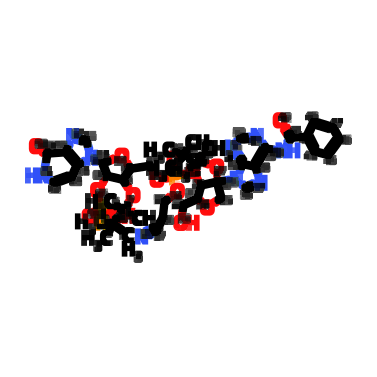 CC(C)(C)[Si](C)(C)OC1C(COP(=O)(OCCC#N)O[C@@H]2C(CO)OC[C@@]2(O[Si](C)(C)C(C)(C)C)n2cnc3c(NC(=O)c4ccccc4)ncnc32)O[C@@H](n2cnc3c(=O)[nH]ccc32)[C@@H]1O[PH](=O)O